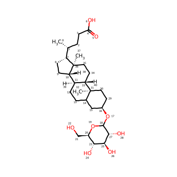 C[C@H](CCC(=O)O)[C@H]1CC[C@H]2[C@@H]3CCC4C[C@H](OC5O[C@H](CO)[C@@H](O)[C@H](O)[C@H]5O)CC[C@]4(C)[C@H]3CC[C@]12C